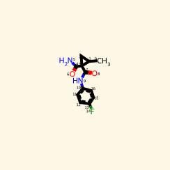 CC1CC1(C(N)=O)C(=O)Nc1ccc(F)cc1